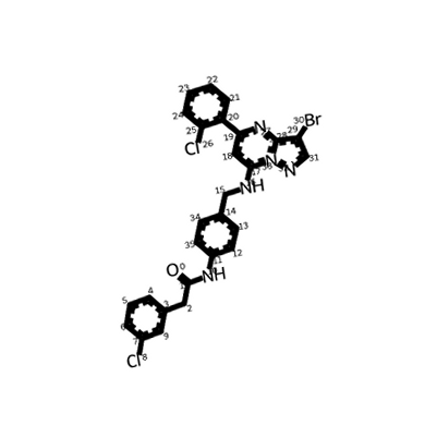 O=C(Cc1cccc(Cl)c1)Nc1ccc(CNc2cc(-c3ccccc3Cl)nc3c(Br)cnn23)cc1